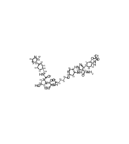 CCS(=O)(=O)Nc1ccc(-c2n[nH]c(Nc3ccnc(OCCCCC(=O)N[C@H](C(=O)N4C[C@@H](O)C[C@H]4C(=O)NCc4ccc(-c5scnc5C)cc4)C(C)(C)C)c3)c2C(N)=O)cc1